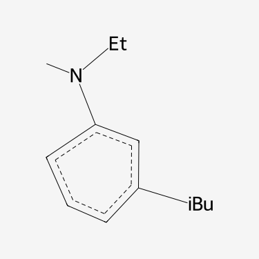 CCC(C)c1cccc(N(C)CC)c1